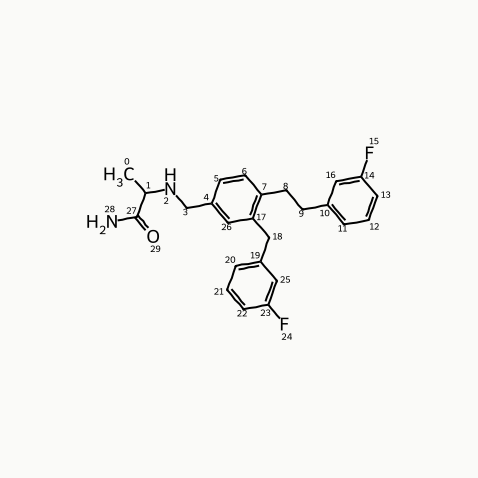 CC(NCc1ccc(CCc2cccc(F)c2)c(Cc2cccc(F)c2)c1)C(N)=O